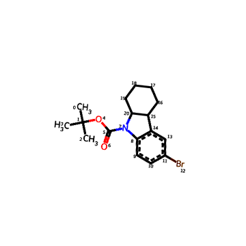 CC(C)(C)OC(=O)N1c2ccc(Br)cc2C2CCCCC21